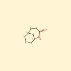 O=C1CCC2CCCC(C2)O1